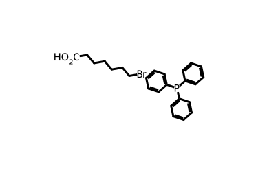 O=C(O)CCCCCCBr.c1ccc(P(c2ccccc2)c2ccccc2)cc1